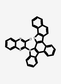 Clc1nc2ccccc2nc1-n1c2ccccc2c2c3ccccc3c3c4ccc5ccccc5c4sc3c21